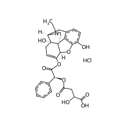 CN1CC[C@]23c4c5ccc(O)c4O[C@H]2C(OC(=O)[C@@H](OC(=O)CC(O)C(=O)O)c2ccccc2)=CC[C@@]3(O)[C@H]1C5.Cl